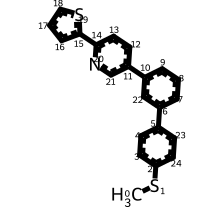 CSc1ccc(-c2cccc(-c3ccc(-c4cccs4)nc3)c2)cc1